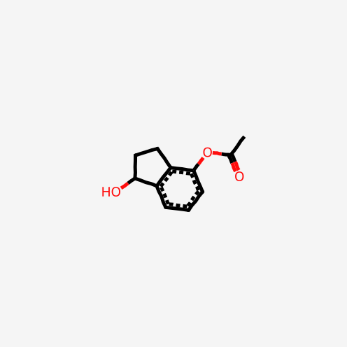 CC(=O)Oc1cccc2c1CCC2O